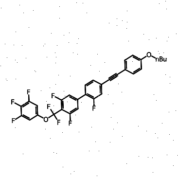 CCCCOc1ccc(C#Cc2ccc(-c3cc(F)c(C(F)(F)Oc4cc(F)c(F)c(F)c4)c(F)c3)c(F)c2)cc1